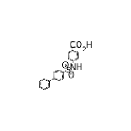 O=C(O)c1ccc(NS(=O)(=O)c2ccc(-c3ccccc3)cc2)cc1